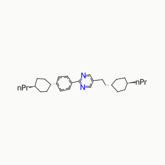 CCC[C@H]1CC[C@H](CCc2cnc(-c3ccc([C@H]4CC[C@H](CCC)CC4)cc3)nc2)CC1